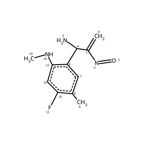 C=C(N=O)C(N)c1cc(C)c(F)cc1NC